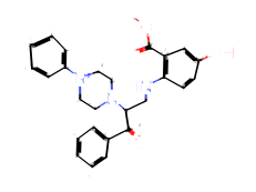 COC(=O)c1cc(O)ccc1NCC(C(=O)c1ccccc1)N1CCN(c2ccccc2)CC1